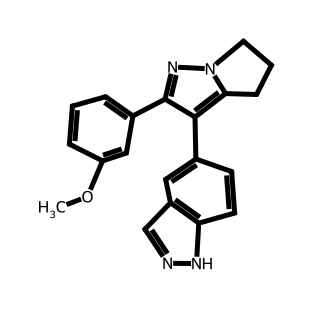 COc1cccc(-c2nn3c(c2-c2ccc4[nH]ncc4c2)CCC3)c1